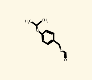 CC(C)Oc1ccc(COC=O)cc1